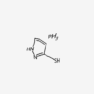 P.Sc1cc[nH]n1